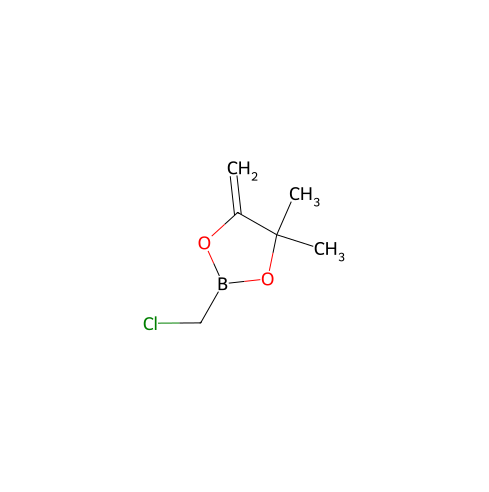 C=C1OB(CCl)OC1(C)C